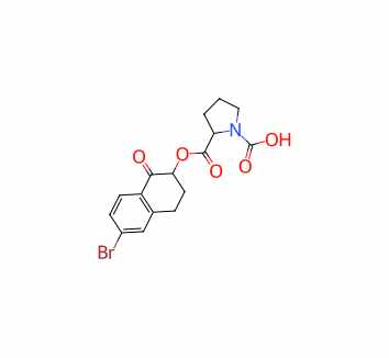 O=C1c2ccc(Br)cc2CCC1OC(=O)C1CCCN1C(=O)O